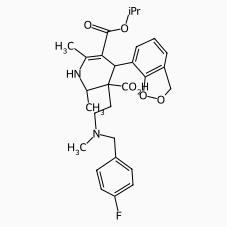 CC1=C(C(=O)OC(C)C)C(c2cccc3c2OOC3)C(CCN(C)Cc2ccc(F)cc2)(C(=O)O)C(C)N1